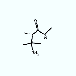 CNC(=O)[C@@H](C)C(C)(C)N